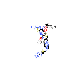 CC(C)(O/N=C(\C(=O)N[C@@H]1C(=O)N2C(C(=O)O)=C(C[n+]3ccc4n(Cc5cc(NC(=N)N)cs5)ccn43)CS[C@H]12)c1csc(N)n1)C(=O)O